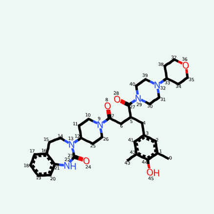 Cc1cc(CC(CC(=O)N2CCC(N3CCc4ccccc4NC3=O)CC2)C(=O)N2CCN(C3CCOCC3)CC2)cc(C)c1O